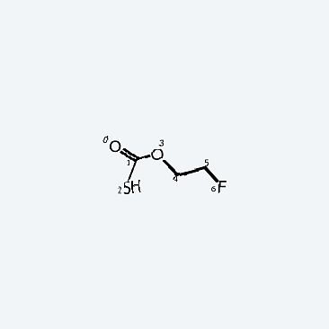 O=C(S)OCCF